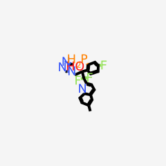 Cc1ccc2nc(C(F)(F)C(O)(Cn3cnnc3)c3ccc(F)cc3P)ccc2c1